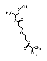 C=C(C)C(=O)OCCOCCC(=O)OC(C)CSC